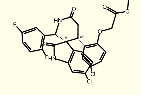 COC(=O)COc1ccc(Cl)cc1[C@H]1CC(=O)NC(c2cc(F)ccc2F)[C@]12C(=O)Nc1cc(Cl)ccc12